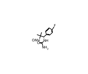 COC(C)(C)[C@@H](NC(N)=O)c1ccc(F)cc1